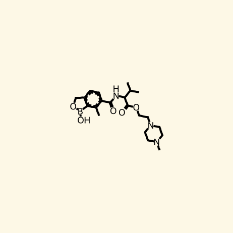 Cc1c(C(=O)NC(C(=O)OCCN2CCN(C)CC2)C(C)C)ccc2c1B(O)OC2